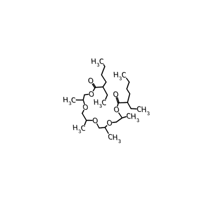 CCCCC(CC)C(=O)OCC(C)OCC(C)OCC(C)OCC(C)OC(=O)C(CC)CCCC